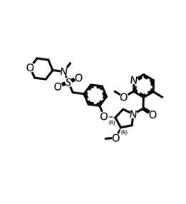 COc1nccc(C)c1C(=O)N1C[C@@H](OC)[C@H](Oc2cccc(CS(=O)(=O)N(C)C3CCOCC3)c2)C1